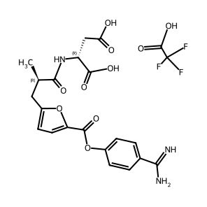 C[C@H](Cc1ccc(C(=O)Oc2ccc(C(=N)N)cc2)o1)C(=O)N[C@H](CC(=O)O)C(=O)O.O=C(O)C(F)(F)F